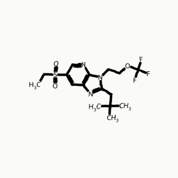 CCS(=O)(=O)c1cnc2c(c1)nc(CC(C)(C)C)n2CCOC(F)(F)F